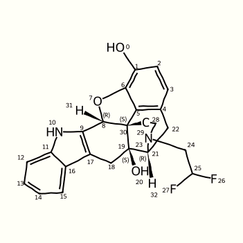 Oc1ccc2c3c1O[C@H]1c4[nH]c5ccccc5c4C[C@@]4(O)[C@@H](C2)N(CC(F)F)CC[C@]314